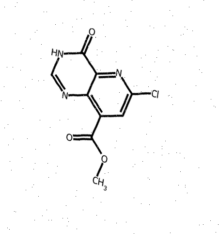 COC(=O)c1cc(Cl)nc2c(=O)[nH]cnc12